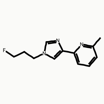 Cc1cccc(-c2cn(CCCF)cn2)n1